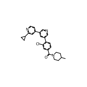 CC1CCN(C(=O)c2ccc(-c3cncc(-c4ccnc(C5CC5)c4)c3)c(Cl)c2)CC1